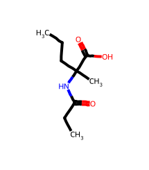 CCCC(C)(NC(=O)CC)C(=O)O